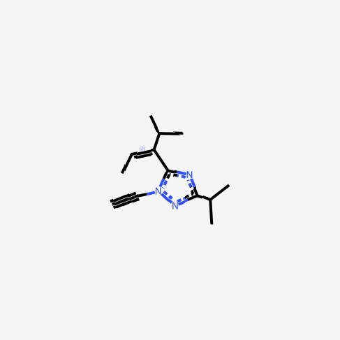 C#Cn1nc(C(C)C)nc1/C(=C\C)C(C)C